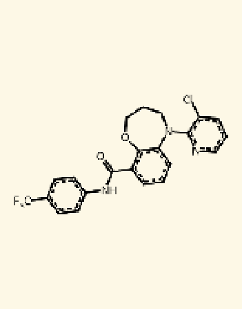 O=C(Nc1ccc(C(F)(F)F)cc1)c1cccc2c1OCCCN2c1ncccc1Cl